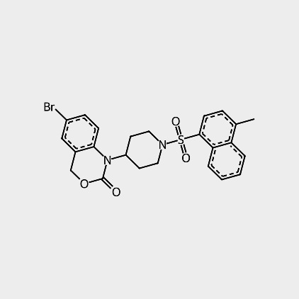 Cc1ccc(S(=O)(=O)N2CCC(N3C(=O)OCc4cc(Br)ccc43)CC2)c2ccccc12